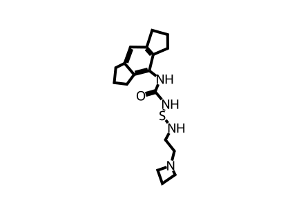 O=C(NSNCCN1CCC1)Nc1c2c(cc3c1CCC3)CCC2